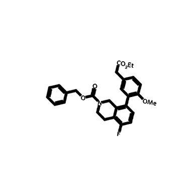 CCOC(=O)Cc1ccc(OC)c(-c2ccc(F)c3c2CN(C(=O)OCc2ccccc2)CC3)c1